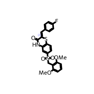 COc1cccc(OC)c1CS(=O)(=O)c1ccc2c(c1)NC(=O)/C(=C/c1ccc(F)cc1)S2